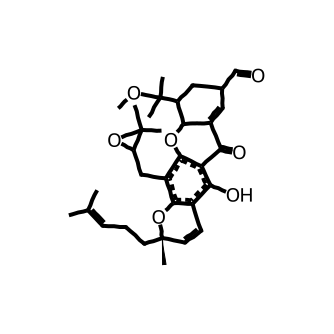 COC(C)(C)C1CC(C=O)C=C2C(=O)c3c(O)c4c(c(CC5OC5(C)C)c3OC21)O[C@@](C)(CCC=C(C)C)C=C4